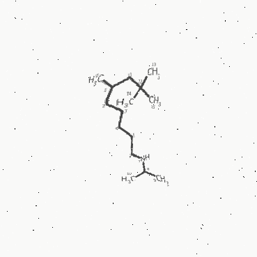 CC(CCCCCNC(C)C)CC(C)(C)C